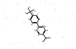 CC(C)c1cnc(-c2ccc(C(C)(C)C)cc2)nc1